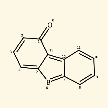 O=C1C=CC=C2B=c3ccccc3=C12